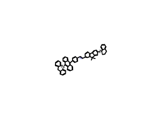 CC1(C)c2cc(/C=C/c3ccc(-c4c5ccccc5c(N5c6ccccc6Cc6ccccc65)c5ccccc45)cc3)ccc2-c2ccc(N3CCCc4ccccc43)cc21